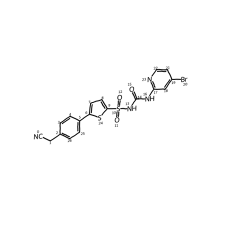 N#CCc1ccc(-c2ccc(S(=O)(=O)NC(=O)Nc3cc(Br)ccn3)s2)cc1